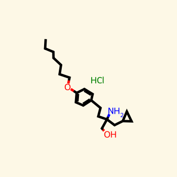 CCCCCCCOc1ccc(CCC(N)(CO)CC2CC2)cc1.Cl